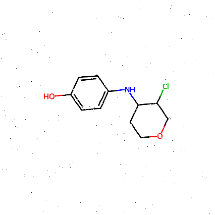 Oc1ccc(NC2CCO[CH]C2Cl)cc1